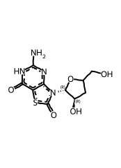 Nc1nc2c(sc(=O)n2[C@@H]2OC(CO)C[C@H]2O)c(=O)[nH]1